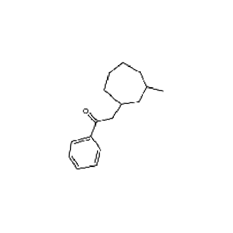 CC1CCCCC(CC(=O)c2ccccc2)C1